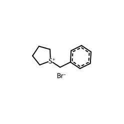 [Br-].c1ccc(C[S+]2CCCC2)cc1